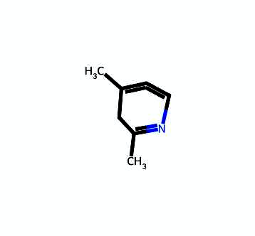 CC1=C=CN=C(C)C1